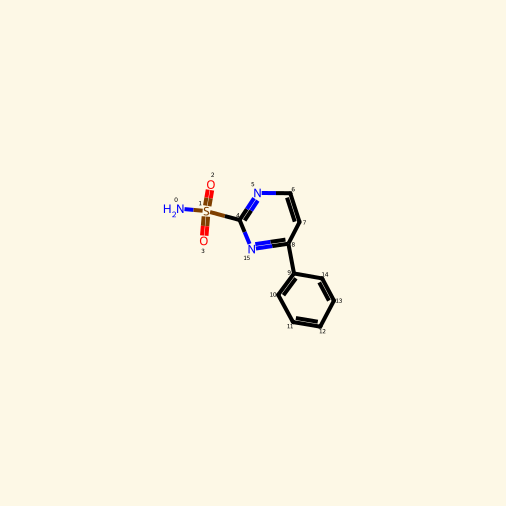 NS(=O)(=O)c1nccc(-c2ccccc2)n1